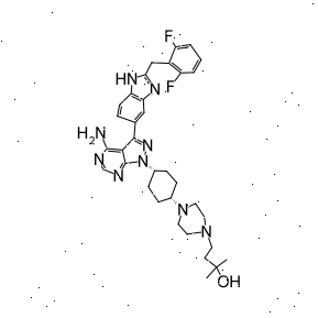 CC(C)(O)CCN1CCN([C@H]2CC[C@@H](n3nc(-c4ccc5[nH]c(Cc6c(F)cccc6F)nc5c4)c4c(N)ncnc43)CC2)CC1